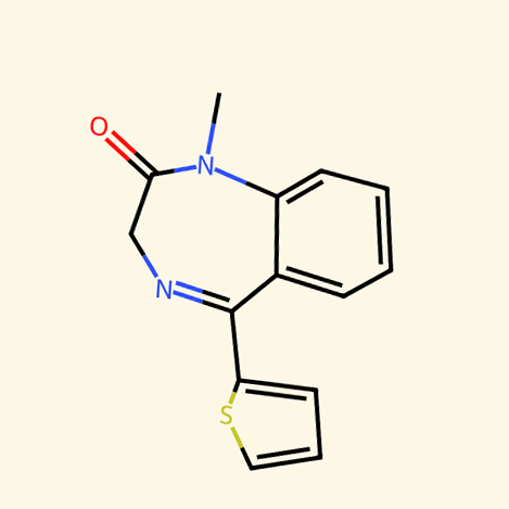 CN1C(=O)CN=C(c2cccs2)c2ccccc21